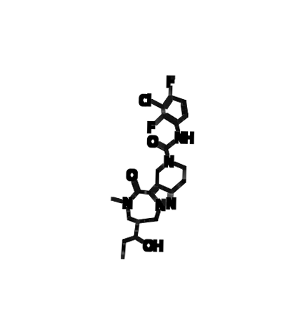 CCC(O)C1CN(C)C(=O)c2c3c(nn2C1)CCN(C(=O)Nc1ccc(F)c(Cl)c1F)C3